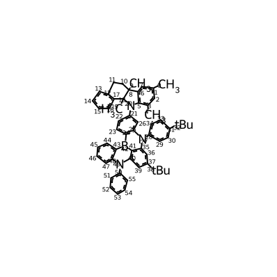 Cc1cc(C)c2c(c1)C1(C)CCc3ccccc3C1(C)N2c1ccc2c(c1)N(c1ccc(C(C)(C)C)cc1)c1cc(C(C)(C)C)cc3c1B2c1ccccc1N3c1ccccc1